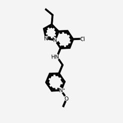 CCc1cnn2c(NCc3ccc[n+](OC)c3)cc(Cl)cc12